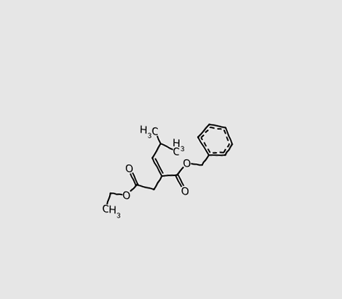 CCOC(=O)CC(=CC(C)C)C(=O)OCc1ccccc1